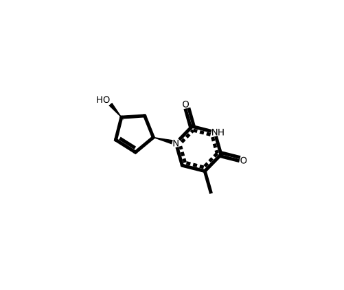 Cc1cn([C@H]2C=C[C@@H](O)C2)c(=O)[nH]c1=O